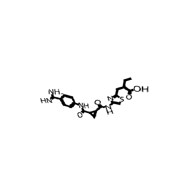 CCC(Cc1nc(NC(=O)C2CC2C(=O)Nc2ccc(C(=N)N)cc2)cs1)C(=O)O